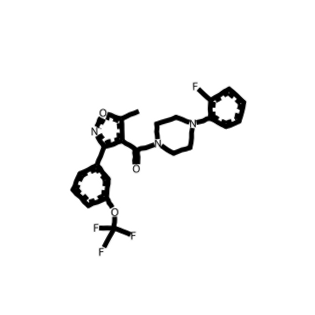 Cc1onc(-c2cccc(OC(F)(F)F)c2)c1C(=O)N1CCN(c2ccccc2F)CC1